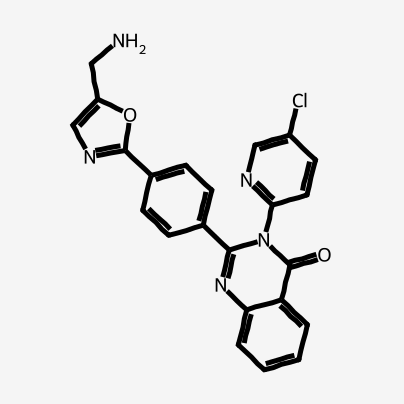 NCc1cnc(-c2ccc(-c3nc4ccccc4c(=O)n3-c3ccc(Cl)cn3)cc2)o1